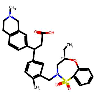 CC[C@@H]1CN(Cc2cc(C(CC(=O)O)c3ccc4c(c3)CN(C)CC4)ccc2C)S(=O)(=O)c2ccccc2O1